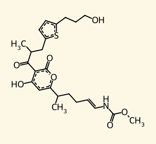 COC(=O)N/C=C/CCC(C)c1cc(O)c(C(=O)C(C)Cc2ccc(CCCO)s2)c(=O)o1